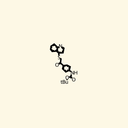 CC(C)(C)OC(=O)Nc1ccc(C(=O)CSc2ccnc3ccccc23)cc1